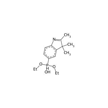 CCO[PH](O)(OCC)c1ccc2c(c1)C(C)(C)C(C)=N2